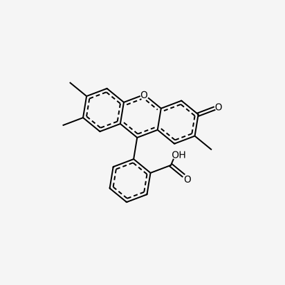 Cc1cc2oc3cc(=O)c(C)cc-3c(-c3ccccc3C(=O)O)c2cc1C